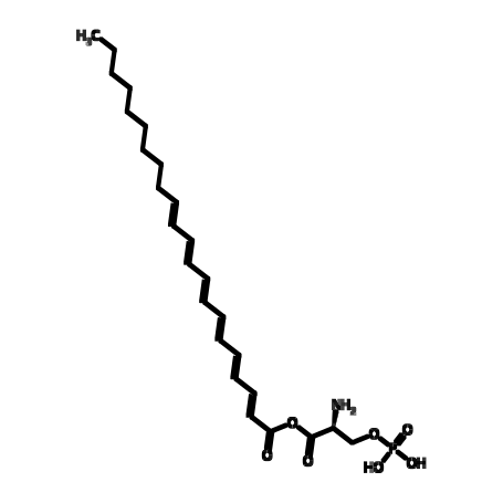 CCCCCCCCCC=CC=CC=CC=CC=CC=CC(=O)OC(=O)[C@@H](N)COP(=O)(O)O